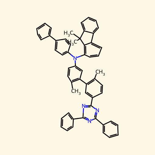 Cc1ccc(-c2nc(-c3ccccc3)nc(-c3ccccc3)n2)cc1-c1cc(N(c2ccc(-c3ccccc3)cc2)c2cccc3c2C(C)(C)c2ccccc2-3)ccc1C